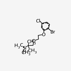 C[SiH](C)C(C)(C)COCCOc1cc(Cl)ccc1Br